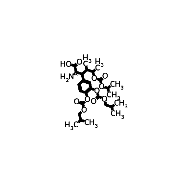 CC(C)COC(=O)Oc1ccc(C(C(C)C(C)OC(=O)OC(C)C)[C@H](N)C(=O)O)cc1OC(=O)OCC(C)C